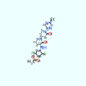 CCc1cnc(N2CCC(N3CCCC(Nc4cc(F)c(S(C)(=O)=O)cc4F)C3=O)CC2=O)cn1